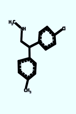 CNCC(c1ccc(C)cc1)c1ccc(Cl)cc1